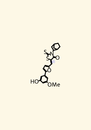 COc1cc(O)cc(-c2ccc(/C=C3\SC(=S)N(C4CC5CCC4C5)C3=O)o2)c1